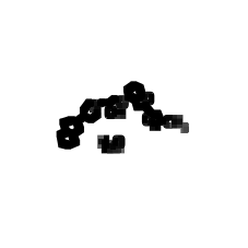 Cc1cc(-c2cc3c(OC[C@@H](O)CN4CCC(c5ccc6ccccc6c5)CC4)cccc3o2)on1.Cl.O